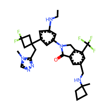 CCNc1cc(N2Cc3c(cc(CNC4(C)CCC4)cc3C(F)(F)F)C2=O)cc(C2(Cc3nncn3C)CC(F)(F)C2)c1